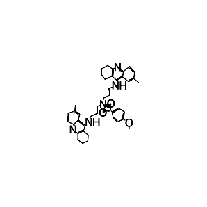 COc1ccc(S(=O)(=O)N(CCCNc2c3c(nc4ccc(C)cc24)CCCC3)CCCNc2c3c(nc4ccc(C)cc24)CCCC3)cc1